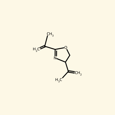 C=C(C)C1=NC(C(=C)C)CO1